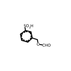 O=COCc1cccc(S(=O)(=O)O)c1